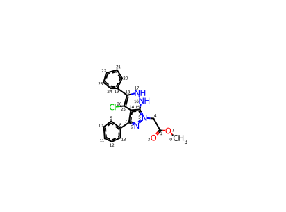 COC(=O)Cn1nc(-c2ccccc2)c2c1NNC(c1ccccc1)=C2Cl